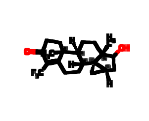 C[C@]12CCC(=O)C(C(F)(F)F)=C1CC[C@@H]1[C@@H]2CC[C@]2(C)C(O)C[C@@H]3C[C@]312